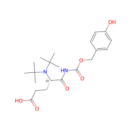 CC(C)(C)N([C@@H](CCC(=O)O)C(=O)NC(=O)OCc1ccc(O)cc1)C(C)(C)C